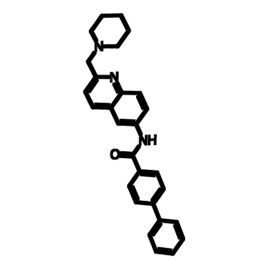 O=C(Nc1ccc2nc(CN3CCCCC3)ccc2c1)c1ccc(-c2ccccc2)cc1